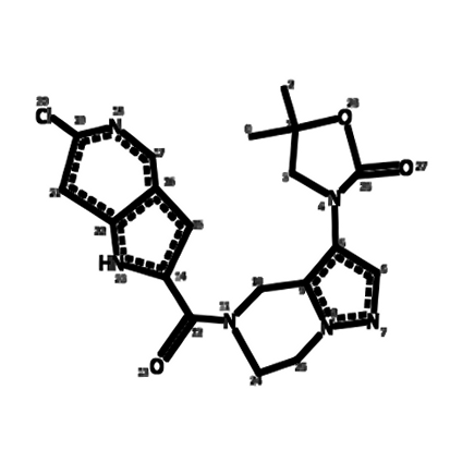 CC1(C)CN(c2cnn3c2CN(C(=O)c2cc4cnc(Cl)cc4[nH]2)CC3)C(=O)O1